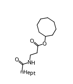 CCCCCCCC(=O)NCCC(=O)OC1CCCCCCC1